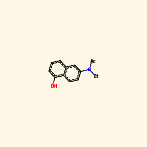 CCN(C(C)=O)c1ccc2c(O)cccc2c1